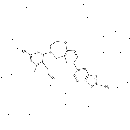 C=CCc1c(C)nc(N)nc1N1CCOc2ccc(-c3cnc4sc(N)nc4c3)cc2C1